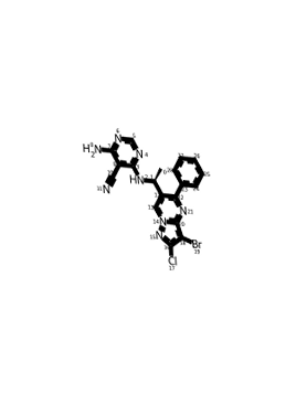 C[C@H](Nc1ncnc(N)c1C#N)c1cn2nc(Cl)c(Br)c2nc1-c1ccccc1